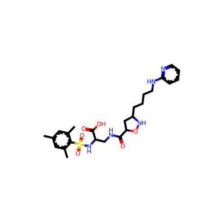 Cc1cc(C)c(S(=O)(=O)NC(CNC(=O)C2CC(CCCCNc3ccccn3)NO2)C(=O)O)c(C)c1